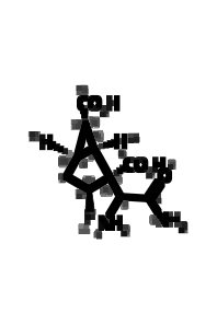 NC(=O)C(N)[C@]1(C(=O)O)[C@H]2[C@@H](C[C@@H]1F)[C@@H]2C(=O)O